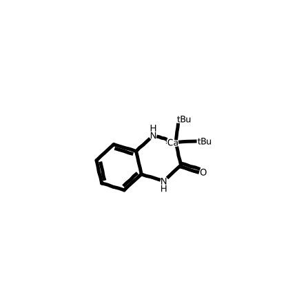 C[C](C)(C)[Ca]1([C](C)(C)C)[NH]c2ccccc2N[C]1=O